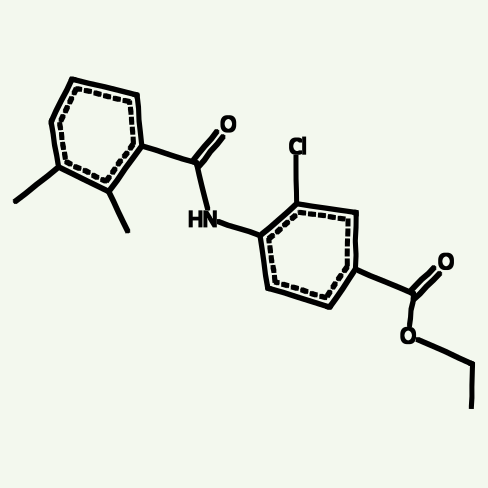 CCOC(=O)c1ccc(NC(=O)c2cccc(C)c2C)c(Cl)c1